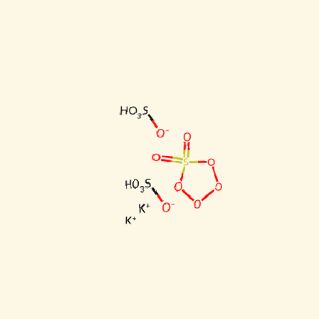 O=S(=O)([O-])O.O=S(=O)([O-])O.O=S1(=O)OOOO1.[K+].[K+]